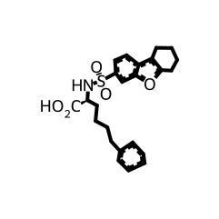 O=C(O)[C@H](CCCCc1ccccc1)NS(=O)(=O)c1ccc2c3c(oc2c1)CCCC3